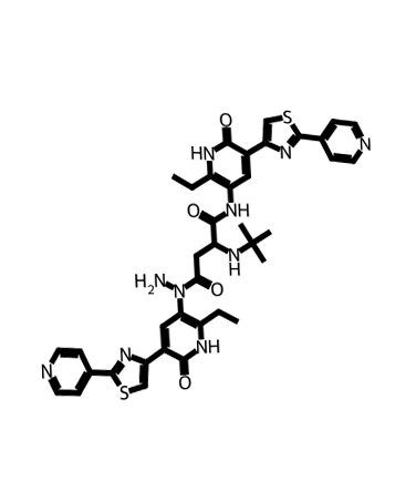 CCc1[nH]c(=O)c(-c2csc(-c3ccncc3)n2)cc1NC(=O)C(CC(=O)N(N)c1cc(-c2csc(-c3ccncc3)n2)c(=O)[nH]c1CC)NC(C)(C)C